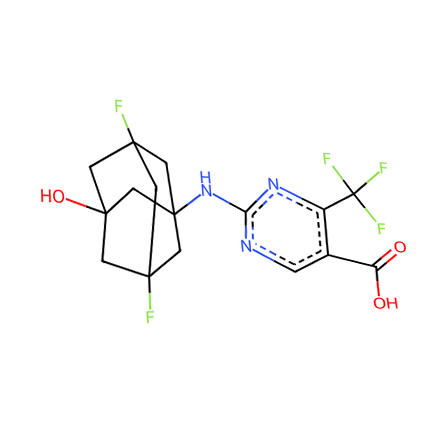 O=C(O)c1cnc(NC23CC4(O)CC(F)(CC(F)(C4)C2)C3)nc1C(F)(F)F